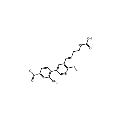 COc1ncc(-c2ccc([N+](=O)[O-])cc2N)cc1C=CCCNC(=O)O